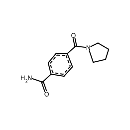 NC(=O)c1ccc(C(=O)N2CCCC2)cc1